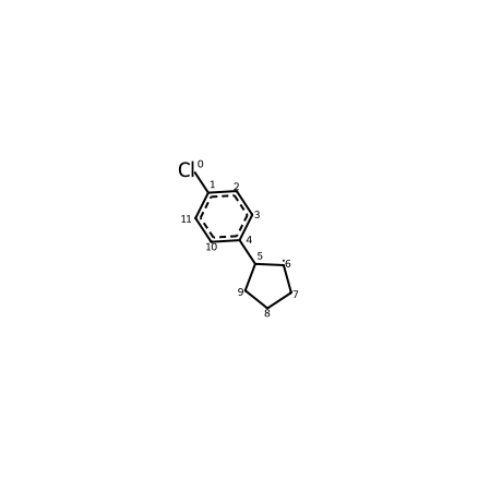 Clc1ccc(C2[CH]CCC2)cc1